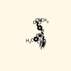 CCOC(Cc1ccc(OCCN(CCOC(F)(F)C(F)(F)C(F)(F)F)C(=O)Oc2c(C)cc(C)cc2C)cc1)C(=O)O